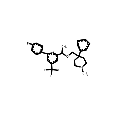 CC(OCC1(c2ccccc2)CCN(C)CC1)c1cc(C(F)(F)F)cc(-c2ccc(F)cc2)n1